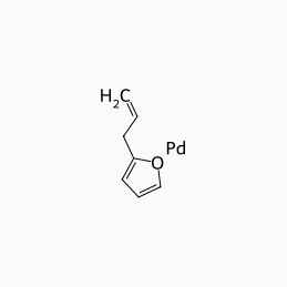 C=CCc1ccco1.[Pd]